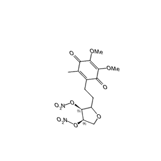 COC1=C(OC)C(=O)C(CCC2OC[C@@H](O[N+](=O)[O-])[C@H]2O[N+](=O)[O-])=C(C)C1=O